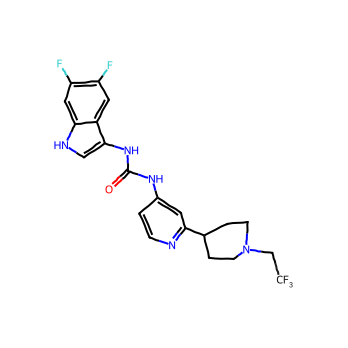 O=C(Nc1ccnc(C2CCN(CC(F)(F)F)CC2)c1)Nc1c[nH]c2cc(F)c(F)cc12